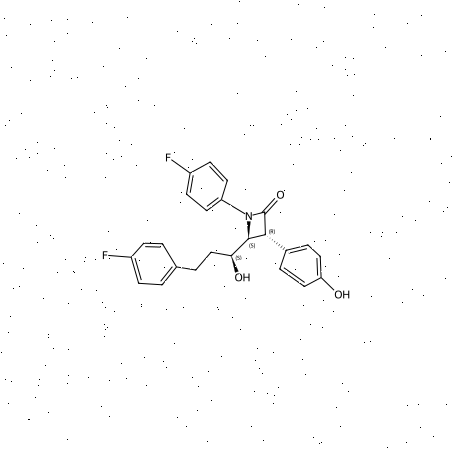 O=C1[C@H](c2ccc(O)cc2)[C@@H]([C@@H](O)CCc2ccc(F)cc2)N1c1ccc(F)cc1